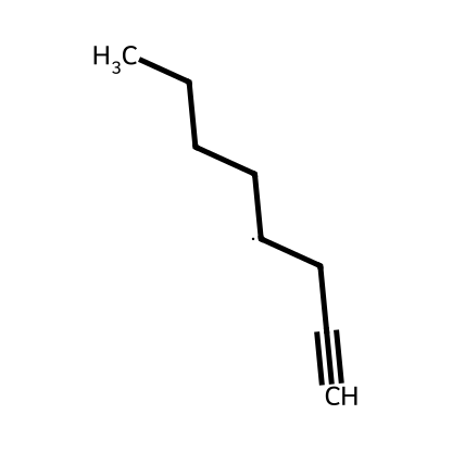 C#CC[CH]CCCC